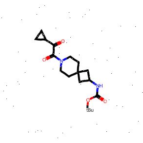 CC(C)(C)OC(=O)NC1CC2(CCN(C(=O)C(=O)C3CC3)CC2)C1